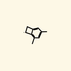 Cc1cc(C)c2c(c1)C[CH]2